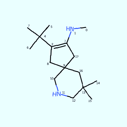 CNC1=C(C(C)(C)C)CC2(CNCC(C)(C)C2)C1